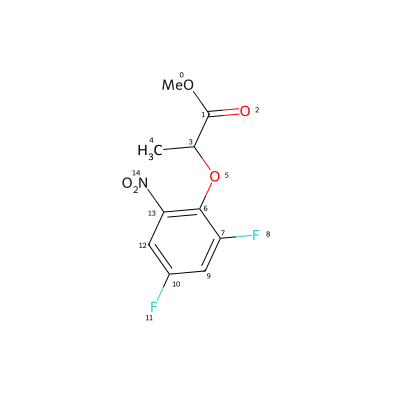 COC(=O)C(C)Oc1c(F)cc(F)cc1[N+](=O)[O-]